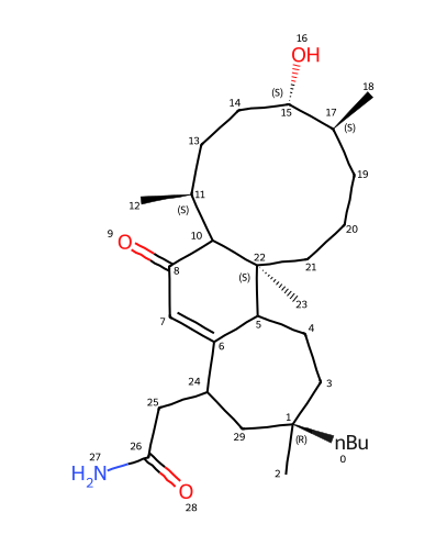 CCCC[C@]1(C)CCC2C(=CC(=O)C3[C@@H](C)CC[C@H](O)[C@@H](C)CCC[C@@]23C)C(CC(N)=O)C1